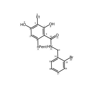 CCCCCc1cc(O)c(CC)c(O)c1C(=O)NCc1ccccc1Br